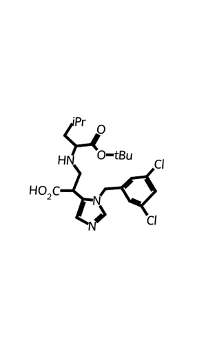 CC(C)CC(NCC(C(=O)O)c1cncn1Cc1cc(Cl)cc(Cl)c1)C(=O)OC(C)(C)C